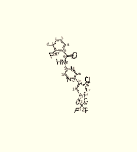 Cc1cccc(C(=O)Nc2cnc(-c3cc4c(cc3Cl)OC(F)(F)O4)cn2)c1F